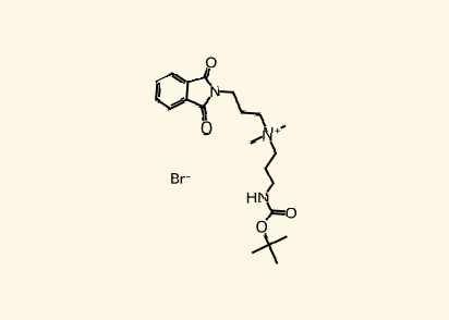 CC(C)(C)OC(=O)NCCC[N+](C)(C)CCCN1C(=O)c2ccccc2C1=O.[Br-]